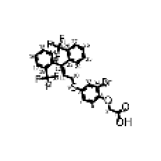 O=C(O)COc1ccc(SCC=C(c2ccccc2C(F)(F)F)c2ccccc2C(F)(F)F)cc1Br